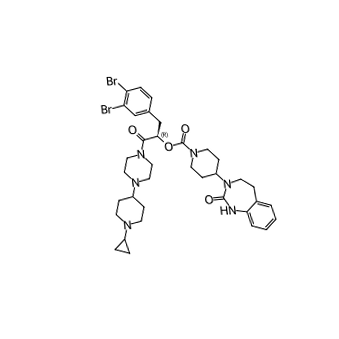 O=C(O[C@H](Cc1ccc(Br)c(Br)c1)C(=O)N1CCN(C2CCN(C3CC3)CC2)CC1)N1CCC(N2CCc3ccccc3NC2=O)CC1